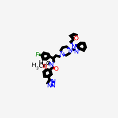 COc1ccc(C2C=NN=N2)cc1C(=O)N(C)CC(CCN1CCCN(c2nc3ccccc3n2Cc2ccco2)CC1)c1ccc(F)cc1